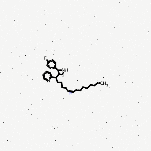 CCCCCCCC/C=C\CCCCC(c1ccccn1)C1SNC1c1ccc(F)cc1